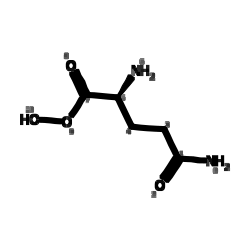 NC(=O)CC[C@H](N)C(=O)OO